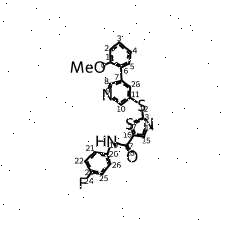 COc1ccccc1-c1cncc(Sc2ncc(C(=O)Nc3ccc(F)cc3)s2)c1